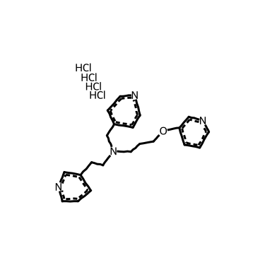 Cl.Cl.Cl.Cl.c1cncc(CCN(CCCOc2cccnc2)Cc2ccncc2)c1